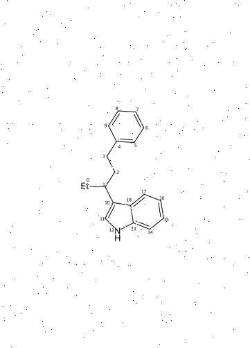 CCC(CCc1ccccc1)c1c[nH]c2ccccc12